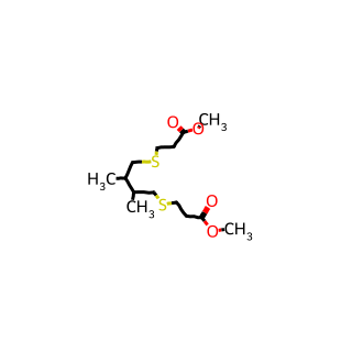 COC(=O)CCSCC(C)C(C)CSCCC(=O)OC